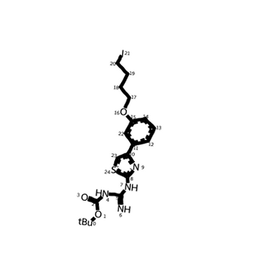 CC(C)(C)OC(=O)NC(=N)Nc1nc(-c2cccc(OCCCCI)c2)cs1